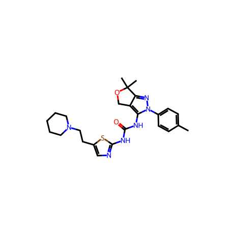 Cc1ccc(-n2nc3c(c2NC(=O)Nc2ncc(CCN4CCCCC4)s2)COC3(C)C)cc1